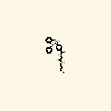 O=C(CNC(=O)c1ccc(S(=O)(=O)Nc2ccccc2Oc2ccccc2)cc1)NCCCO